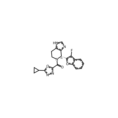 O=C(c1nnc(C2CC2)o1)N1CCc2[nH]cnc2[C@@H]1c1oc2ccccc2c1F